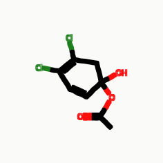 CC(=O)OC1(O)C=CC(Cl)=C(Cl)C1